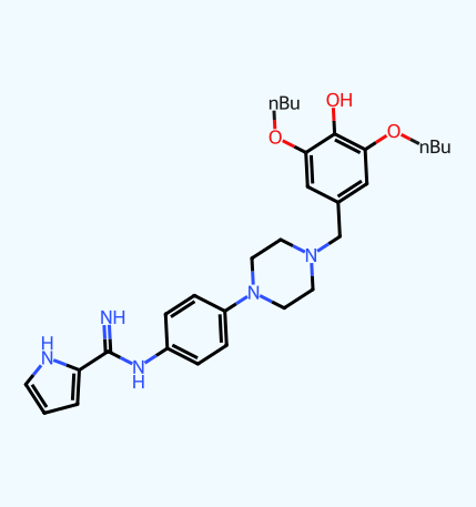 CCCCOc1cc(CN2CCN(c3ccc(NC(=N)c4ccc[nH]4)cc3)CC2)cc(OCCCC)c1O